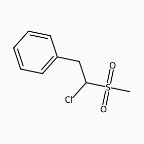 CS(=O)(=O)C(Cl)Cc1ccccc1